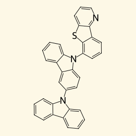 c1cnc2c(c1)sc1c(-n3c4ccccc4c4cc(-n5c6ccccc6c6ccccc65)ccc43)cccc12